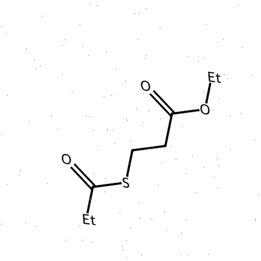 CCOC(=O)CCSC(=O)CC